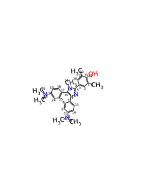 Cc1cc(-c2nc(-c3ccc(N(C)C)cc3)c(-c3ccc(N(C)C)cc3)n2C)cc(C)c1O